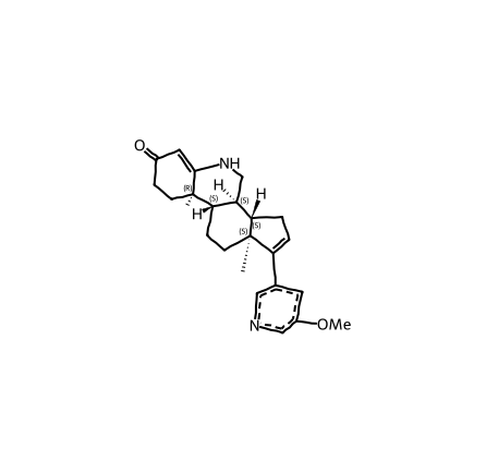 COc1cncc(C2=CC[C@H]3[C@@H]4CNC5=CC(=O)CC[C@]5(C)[C@H]4CC[C@]23C)c1